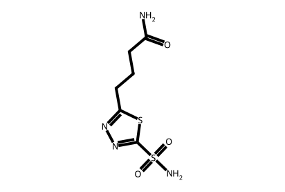 NC(=O)CCCc1nnc(S(N)(=O)=O)s1